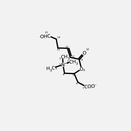 C[N+](C)(C)CC(CC(=O)[O-])OC(=O)C=CCC[C]=O